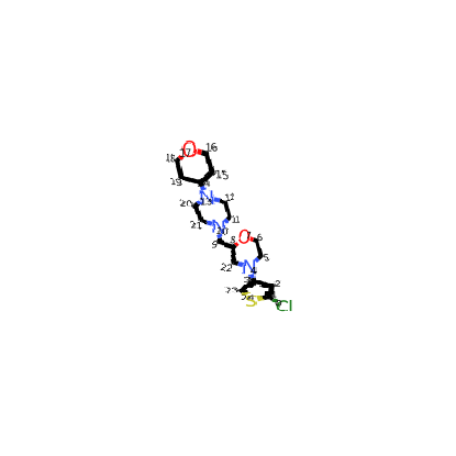 Clc1cc(N2CCOC(CN3CCN(C4CCOCC4)CC3)C2)cs1